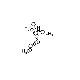 COc1cccc(OCC(=O)N2CCC3=C(C2)SC(C(=O)Nc2ccccc2N)N3Nc2ccc(C)cc2)c1